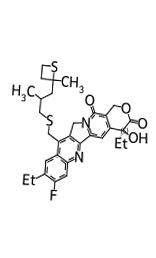 CCc1cc2c(CSCC(C)CC3(C)CCS3)c3c(nc2cc1F)-c1cc2c(c(=O)n1C3)COC(=O)[C@]2(O)CC